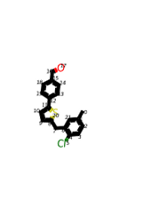 Cc1ccc(Cl)c(Cc2ccc(-c3ccc(C=O)cc3)s2)c1